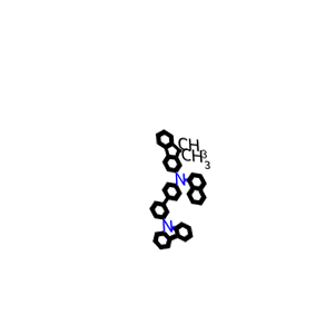 CC1(C)c2ccccc2-c2ccc(N(c3ccc(-c4cccc(-n5c6ccccc6c6ccccc65)c4)cc3)c3cccc4ccccc34)cc21